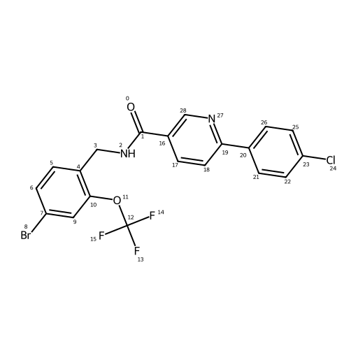 O=C(NCc1ccc(Br)cc1OC(F)(F)F)c1ccc(-c2ccc(Cl)cc2)nc1